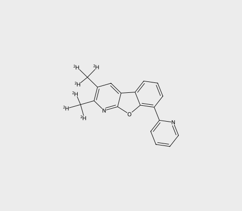 [2H]C([2H])([2H])c1cc2c(nc1C([2H])([2H])[2H])oc1c(-c3ccccn3)cccc12